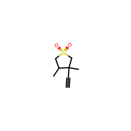 C#CC1(C)CS(=O)(=O)CC1C